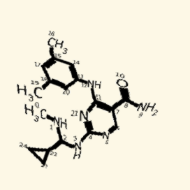 CNC(Nc1ncc(C(N)=O)c(Nc2cc(C)cc(C)c2)n1)C1CC1